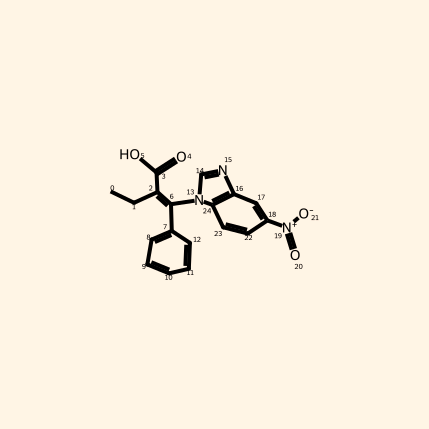 CCC(C(=O)O)=C(c1ccccc1)n1cnc2cc([N+](=O)[O-])ccc21